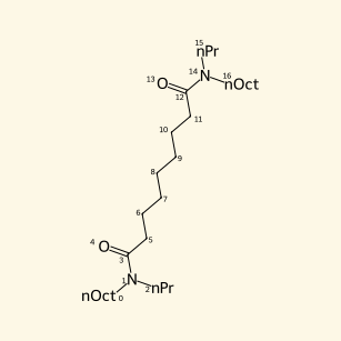 CCCCCCCCN(CCC)C(=O)CCCCCCCC(=O)N(CCC)CCCCCCCC